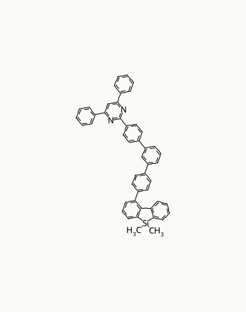 C[Si]1(C)c2ccccc2-c2c(-c3ccc(-c4cccc(-c5ccc(-c6nc(-c7ccccc7)cc(-c7ccccc7)n6)cc5)c4)cc3)cccc21